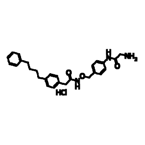 Cl.NCC(=O)Nc1ccc(CONC(=O)Cc2ccc(CCCCc3ccccc3)cc2)cc1